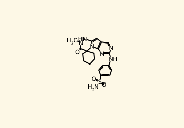 CN1Nc2cc3cnc(Nc4ccc(S(N)(=O)=O)cc4)nc3n2C2(CCCCC2)C1=O